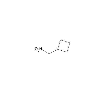 O=[N+]([O-])CC1CCC1